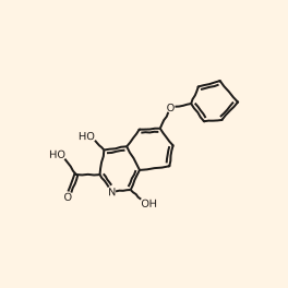 O=C(O)c1nc(O)c2ccc(Oc3ccccc3)cc2c1O